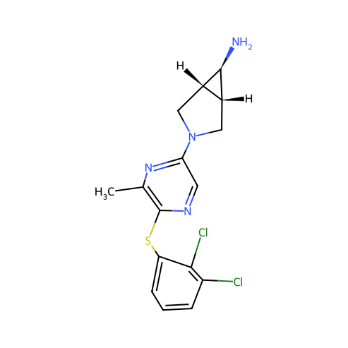 Cc1nc(N2C[C@@H]3[C@@H](N)[C@@H]3C2)cnc1Sc1cccc(Cl)c1Cl